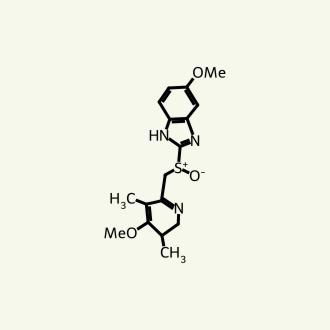 COC1=C(C)C(C[S+]([O-])c2nc3cc(OC)ccc3[nH]2)=NCC1C